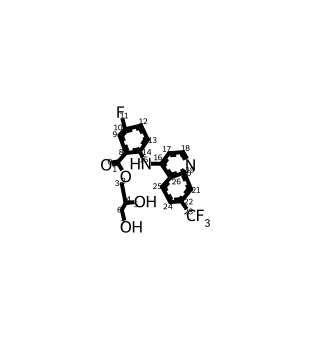 O=C(OCC(O)CO)c1cc(F)ccc1Nc1ccnc2cc(C(F)(F)F)ccc12